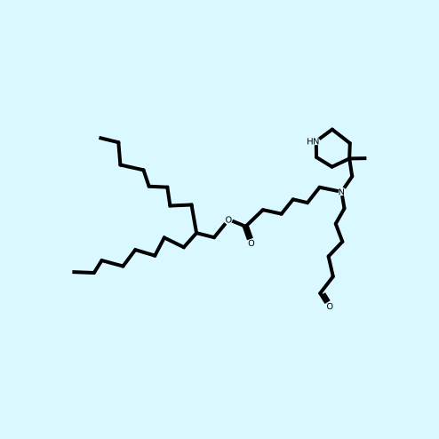 CCCCCCCCC(CCCCCCCC)COC(=O)CCCCCN(CCCCCC=O)CC1(C)CCNCC1